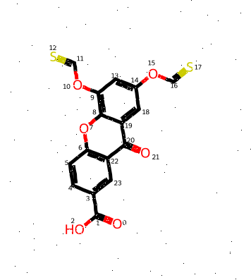 O=C(O)c1ccc2oc3c(OC=S)cc(OC=S)cc3c(=O)c2c1